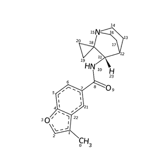 Cc1coc2ccc(C(=O)N[C@H]3C4CCN(CC4)C34CC4)cc12